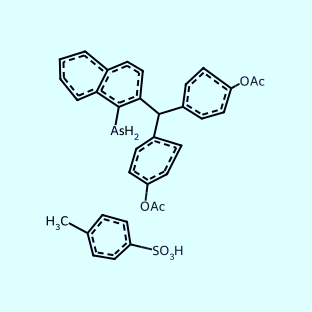 CC(=O)Oc1ccc(C(c2ccc(OC(C)=O)cc2)c2ccc3ccccc3c2[AsH2])cc1.Cc1ccc(S(=O)(=O)O)cc1